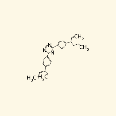 C=CCC(C=C)c1ccc(-c2ncnc(-c3ccc(/C(C=C)=C/CC)cc3)n2)cc1